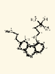 COCCc1nc2cnc3cccc(OCCC(C)(C)O)c3c2[nH]1